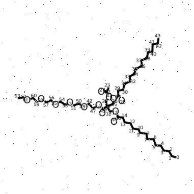 CCCCCCCCCCCCCCCC(=O)OCC(COC(C)=O)(COC(=O)CCCCCCCCCCCCCCC)C(=O)OCCOCCOCCOCCOCCOCC